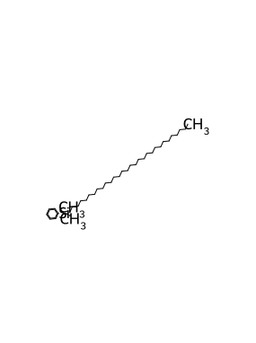 CCCCCCCCCCCCCCCCCCCCCCCCCCCCC[CH][Si](C)(C)c1ccccc1